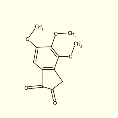 COc1cc2c(c(OC)c1OC)CC(=O)C2=O